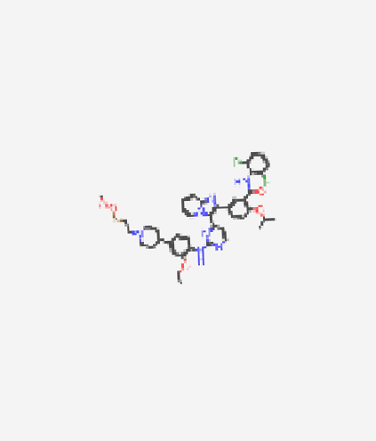 CCOc1cc(C2CCN(CCSOOC)CC2)ccc1Nc1nccc(-c2c(-c3ccc(OC(C)C)c(C(=O)Nc4c(F)cccc4F)c3)nc3ccccn23)n1